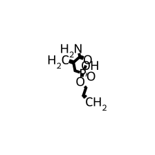 C=CCOP(=O)(O)CC(=C)C(N)=O